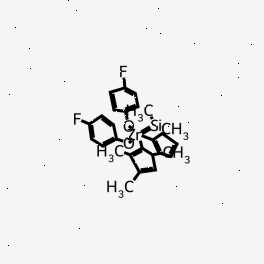 CC1=CC(C)[C]([Zr]([O]c2ccc(F)cc2)([O]c2ccc(F)cc2)([C]2=CC=CC2)=[Si](C)C)=C1C